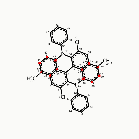 CN1CCOc2c1cc(Cl)c(P(c1ccccc1)c1ccccc1)c2-c1c2c(cc(Cl)c1P(c1ccccc1)c1ccccc1)N(C)CCO2